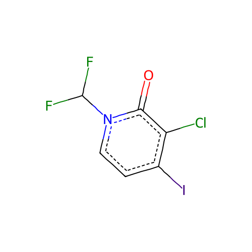 O=c1c(Cl)c(I)ccn1C(F)F